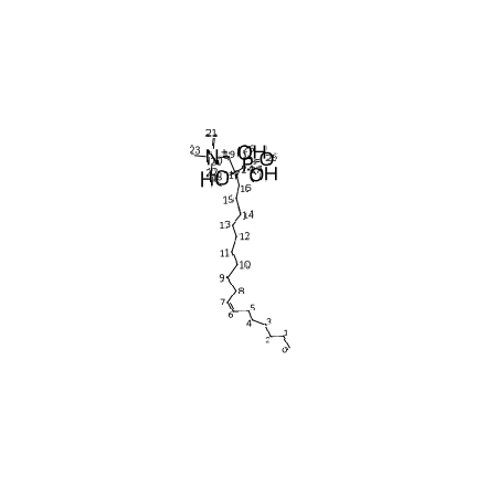 CCCCCC/C=C\CCCCCCCCCC(O)(C[N+](C)(C)C)P(=O)(O)O